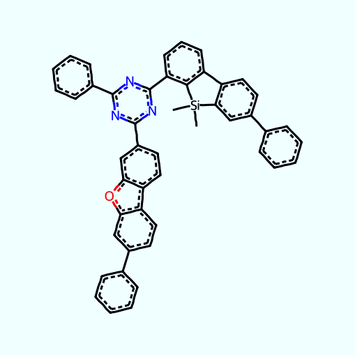 C[Si]1(C)c2cc(-c3ccccc3)ccc2-c2cccc(-c3nc(-c4ccccc4)nc(-c4ccc5c(c4)oc4cc(-c6ccccc6)ccc45)n3)c21